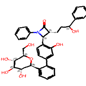 O=C1[C@H](CC[C@H](O)c2ccccc2)[C@@H](c2ccc(-c3ccccc3[C@@H]3O[C@H](CO)[C@@H](O)[C@H](O)[C@H]3O)cc2O)N1c1ccccc1